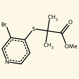 COC(=O)C(C)(C)Sc1ccncc1Br